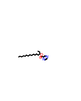 CCCCCCCCCCCCCC(CC)OC(=O)c1cnccn1